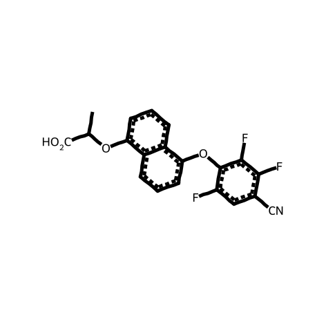 CC(Oc1cccc2c(Oc3c(F)cc(C#N)c(F)c3F)cccc12)C(=O)O